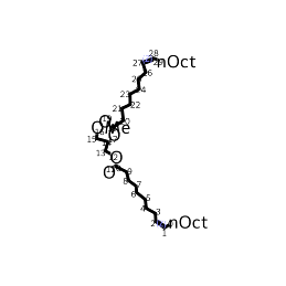 CCCCCCCC/C=C\CCCCCCCC(=O)OCC(COC)OC(=O)CCCCCCC/C=C\CCCCCCCC